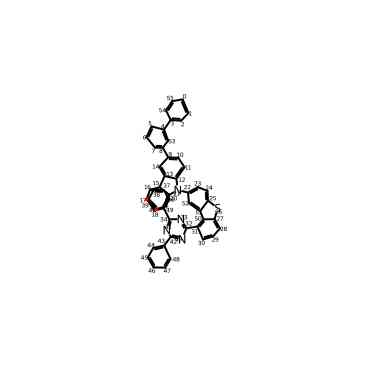 c1ccc(-c2cccc(-c3ccc4c(c3)c3ccccc3n4-c3ccc4sc5cccc(-c6nc(-c7ccccc7)nc(-c7ccccc7)n6)c5c4c3)c2)cc1